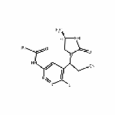 CC(C)(C)C(=O)Nc1cc(C(CC#N)N2C[C@@H](C(F)(F)F)NC2=O)c(Cl)nn1